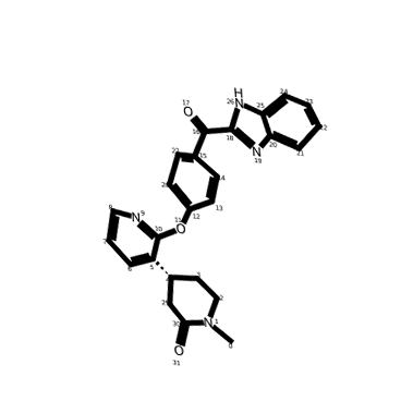 CN1CC[C@@H](c2cccnc2Oc2ccc(C(=O)c3nc4ccccc4[nH]3)cc2)CC1=O